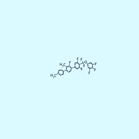 Cc1ccc(-c2ccc(-c3cc(F)c(C(F)(F)Oc4cc(F)c(F)c(F)c4)c(F)c3)c(F)c2C)cc1